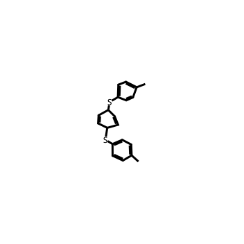 Cc1ccc(SC2C=CC(Sc3ccc(C)cc3)C=C2)cc1